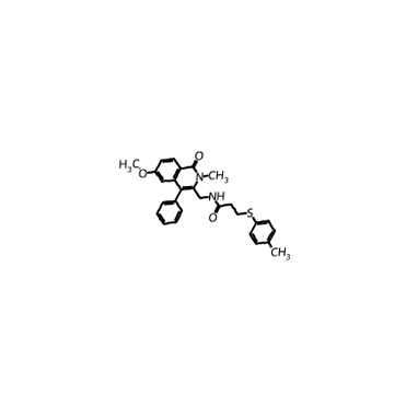 COc1ccc2c(=O)n(C)c(CNC(=O)CCSc3ccc(C)cc3)c(-c3ccccc3)c2c1